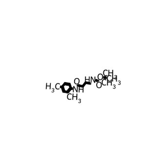 Cc1ccc(NC(=O)CCCNC(=O)OC(C)(C)C)c(C)c1